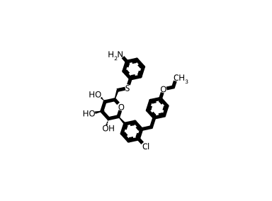 CCOc1ccc(Cc2cc([C@@H]3O[C@H](CSc4cccc(N)c4)[C@@H](O)[C@H](O)[C@H]3O)ccc2Cl)cc1